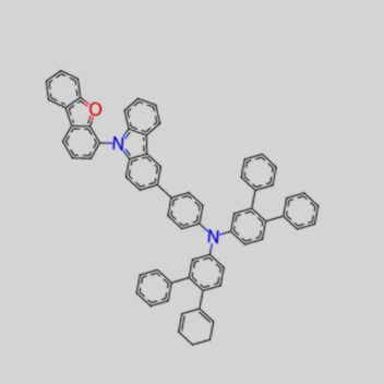 C1=CC(c2ccc(N(c3ccc(-c4ccc5c(c4)c4ccccc4n5-c4cccc5c4oc4ccccc45)cc3)c3ccc(-c4ccccc4)c(-c4ccccc4)c3)cc2-c2ccccc2)=CCC1